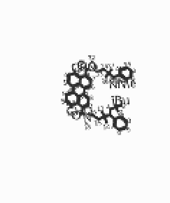 CCC(C)C(C)(C)CC(c1ccccc1)C(C)(C)CCN(C)C(=O)c1ccc2c3ccc(C(=O)N(C)CCC(C)(C)C(NC)c4ccccc4)c4c(C=O)ccc(c5ccc(C=O)c1c52)c43